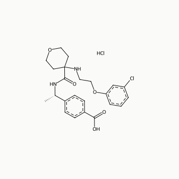 C[C@H](NC(=O)C1(NCCOc2cccc(Cl)c2)CCOCC1)c1ccc(C(=O)O)cc1.Cl